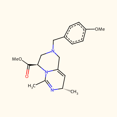 COC(=O)[C@H]1CN(Cc2ccc(OC)cc2)CC2=C[C@H](C)N=C(C)N21